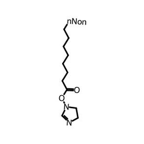 CCCCCCCCCCCCCCCCC(=O)ON1C=NCC1